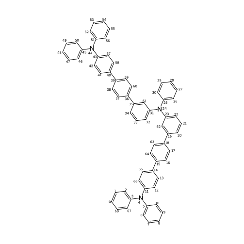 c1ccc(N(c2ccccc2)c2ccc(-c3ccc(-c4cccc(N(c5ccccc5)c5cccc(-c6ccc(-c7ccc(N(c8ccccc8)c8ccccc8)cc7)cc6)c5)c4)cc3)cc2)cc1